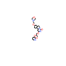 O=c1nc(OCC2COc3ncccc3O2)cc2n1CCc1cc(OCCN3CCOCC3)ccc1-2